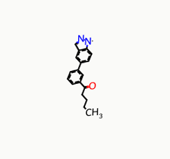 CCCCC(=O)c1cccc(-c2ccc3c(c2)C=N[N]3)c1